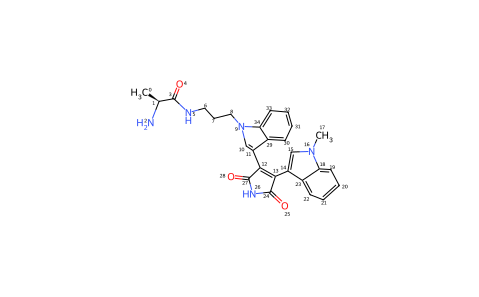 C[C@H](N)C(=O)NCCCn1cc(C2=C(c3cn(C)c4ccccc34)C(=O)NC2=O)c2ccccc21